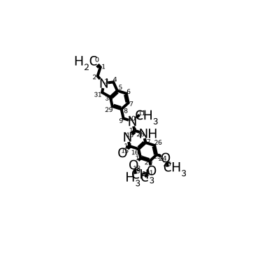 C=CCN1Cc2ccc(CN(C)c3nc(=O)c4c(OC)c(OC)c(OC)cc4[nH]3)cc2C1